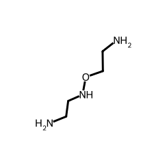 NCCNOCCN